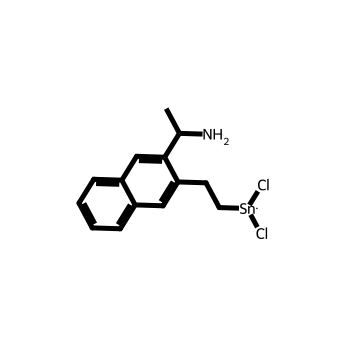 CC(N)c1cc2ccccc2cc1C[CH2][Sn]([Cl])[Cl]